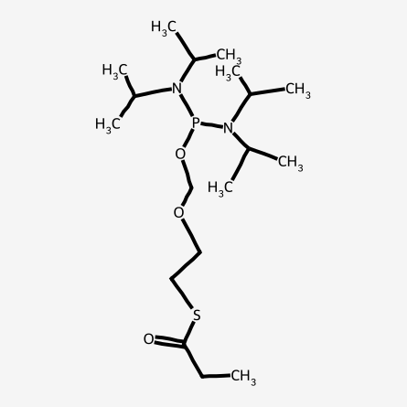 CCC(=O)SCCOCOP(N(C(C)C)C(C)C)N(C(C)C)C(C)C